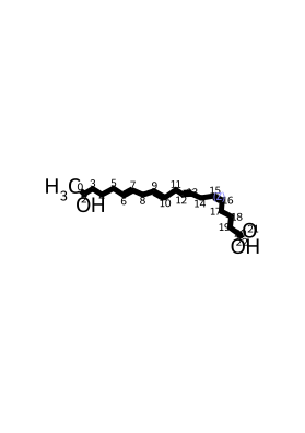 CC(O)CCCC=CCC=CCC=CC/C=C\CCCC(=O)O